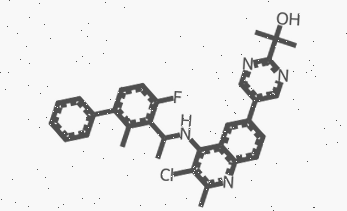 Cc1nc2ccc(-c3cnc(C(C)(C)O)nc3)cc2c(NC(C)c2c(F)ccc(-c3ccccc3)c2C)c1Cl